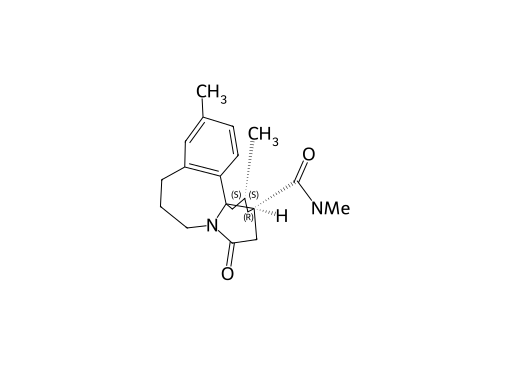 CNC(=O)[C@@H]1[C@@H](C)CC23c4ccc(C)cc4CCCN2C(=O)C[C@@H]13